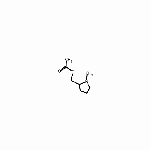 CC(=O)OCC1CCCN1C